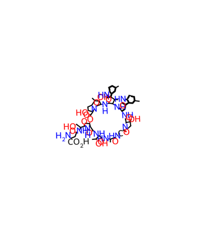 Cc1ccc2[nH]cc(/C=C3/NC(=O)C4C(O)CCN4C(=O)CNC(=O)C(C)NC(=O)C(C(C)O)NC(=O)C(NC(=O)C(CO)NC(=O)CC(N)C(=O)O)C(C)OC(=O)C4C(O)CC5C(C)C(O)C(NC(=O)C(C(C)c6c[nH]c7ccc(C)cc67)NC3=O)C(=O)N54)c2c1